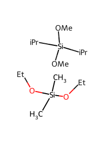 CCO[Si](C)(C)OCC.CO[Si](OC)(C(C)C)C(C)C